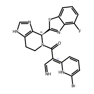 N=C/C(C(=O)N1CCc2[nH]cnc2[C@H]1c1nc2c(F)cccc2s1)=C1/C=CC=C(Br)N1